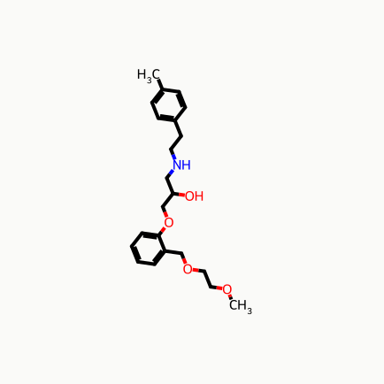 COCCOCc1ccccc1OCC(O)CNCCc1ccc(C)cc1